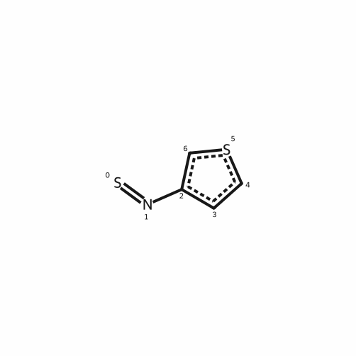 S=Nc1ccsc1